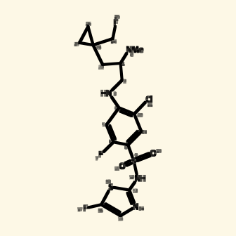 CNC(CNc1cc(F)c(S(=O)(=O)Nc2ncc(F)s2)cc1Cl)CC1(CF)CC1